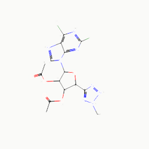 CC(=O)OC1C(c2nnn(C)n2)OC(n2cnc3c(Cl)nc(Cl)nc32)C1OC(C)=O